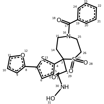 O=C(CC1(c2ccc(-c3ccco3)s2)CCN(C(=O)c2ccccc2)CCS1(=O)=O)NO